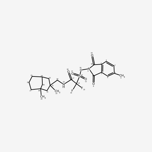 Cc1ccc2c(c1)C(=O)N(OS(=O)(=O)C(F)(F)C(=O)NCC1(C)CC3CCCC(C)(C3)C1)C2=O